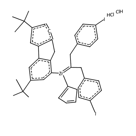 CC(C)(C)c1ccc2c(c1)-c1cc(C(C)(C)C)c[c]([Zr]([C]3=CC=CC3)=[C](Cc3ccc(I)cc3)Cc3ccc(I)cc3)c1C2.Cl.Cl